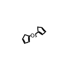 C1=CC[C]([Os][C]2=CC=CC2)=C1